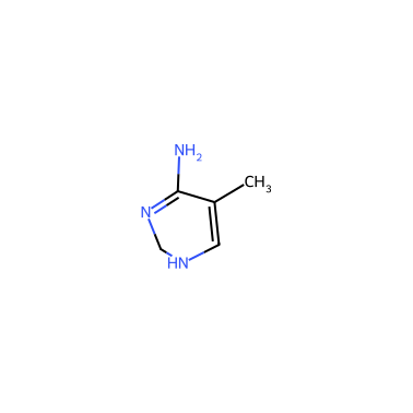 CC1=CNCN=C1N